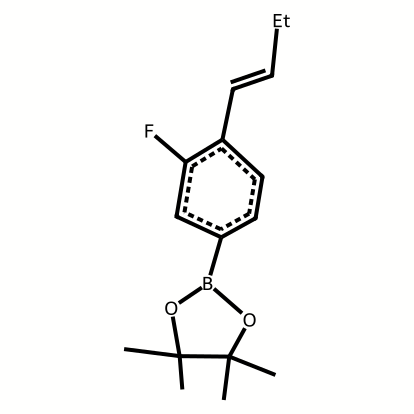 CC/C=C/c1ccc(B2OC(C)(C)C(C)(C)O2)cc1F